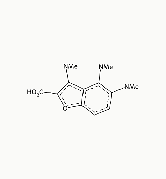 CNc1ccc2oc(C(=O)O)c(NC)c2c1NC